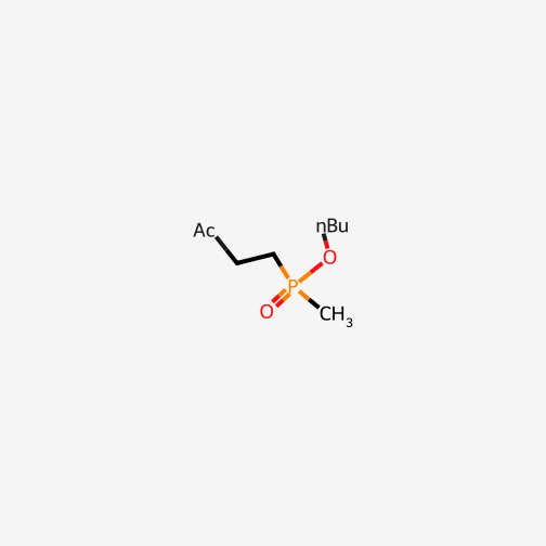 CCCCOP(C)(=O)CCC(C)=O